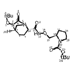 CCCCON1C(=O)N2C[C@@H]1CC[C@H]2C(=O)NOC[C@H]1CCCN1C(=O)OC(C)(C)C